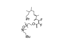 C=C(OCC[Si](C)(C)O[Si](C)(C)CCC(C)CC)/C(F)=C(/F)C(=C)/C(C)=C/CC(C)C(C)CCC(C)C